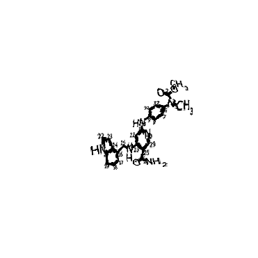 COC(=O)N(C)c1ccc(Nc2cc(NCc3cccc4[nH]ccc34)c(C(N)=O)cn2)cc1